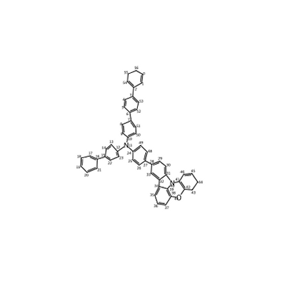 C1=CC(c2ccc(-c3ccc(N(c4ccc(-c5ccccc5)cc4)c4ccc(-c5ccc6c(c5)c5cccc7c5n6C5=C(CCC=C5)O7)cc4)cc3)cc2)=CCC1